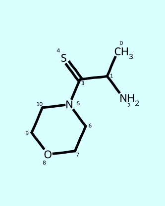 CC(N)C(=S)N1CCOCC1